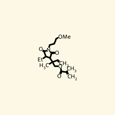 C=CC(C)(COC(=O)C(=C)C)C1C(=O)N(CCCOC)C(=O)C1CC